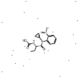 CCC(NC(=O)O)C(=O)N(c1ccccc1[N+](=O)[O-])C1CC1